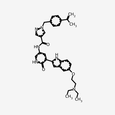 C=C(C)c1ccc(Cn2cc(C(=O)Nc3c[nH]c(=O)c(-c4cc5cc(OCCN(CC)CC)ccc5[nH]4)c3)cn2)cc1